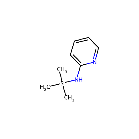 C[Si](C)(C)Nc1ccccn1